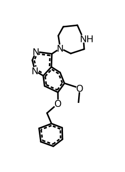 COc1cc2c(N3CCCNCC3)ncnc2cc1OCc1ccccc1